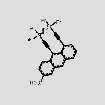 CC(C)[Si](C#Cc1cccc2cc3cc(C(=O)O)ccc3c(C#C[Si](C(C)C)(C(C)C)C(C)C)c12)(C(C)C)C(C)C